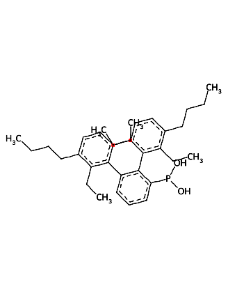 CCCCc1ccc(CC)c(-c2cccc(P(O)O)c2-c2c(CC)ccc(CCCC)c2CC)c1CC